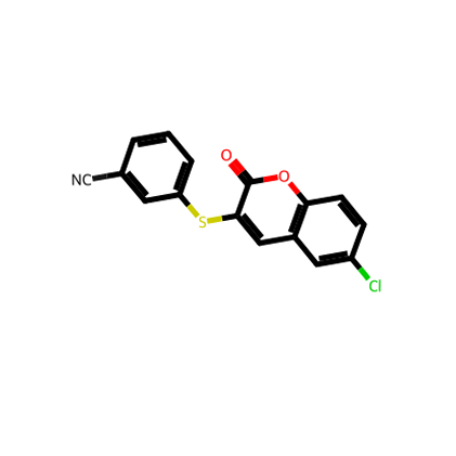 N#Cc1cccc(Sc2cc3cc(Cl)ccc3oc2=O)c1